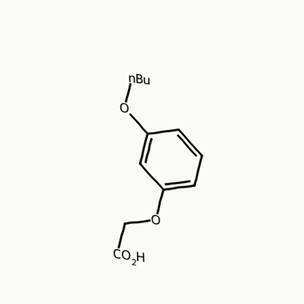 CCCCOc1cccc(OCC(=O)O)c1